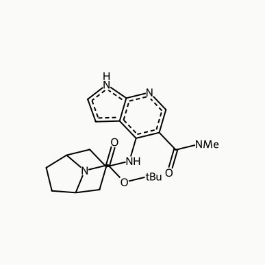 CNC(=O)c1cnc2[nH]ccc2c1NC1CC2CCC(C1)N2C(=O)OC(C)(C)C